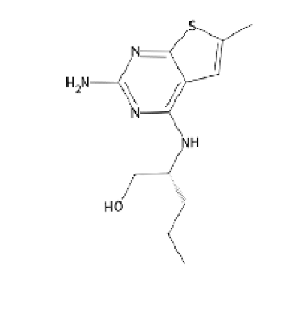 CCC[C@H](CO)Nc1nc(N)nc2sc(C)cc12